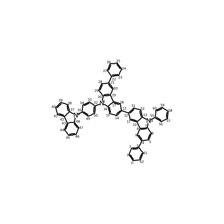 c1ccc(-c2ccc3c(c2)c2cc(-c4ccc5c(c4)c4cc(-c6ccccc6)ccc4n5-c4ccc(-n5c6ccccc6c6ccccc65)cc4)ccc2n3-c2ccccc2)cc1